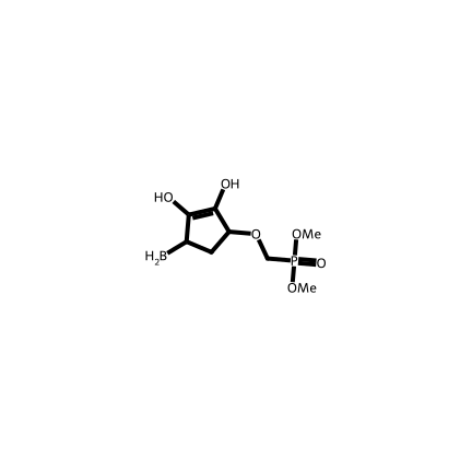 BC1CC(OCP(=O)(OC)OC)C(O)=C1O